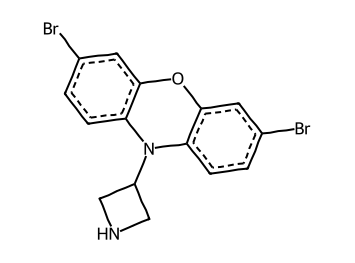 Brc1ccc2c(c1)Oc1cc(Br)ccc1N2C1CNC1